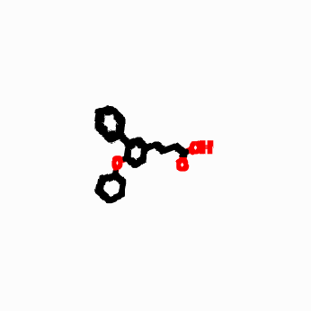 O=C(O)CCCc1ccc(OC2CCCCC2)c(-c2ccccc2)c1